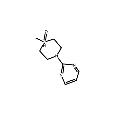 C[SH]1(=O)CCN(c2ncccn2)CC1